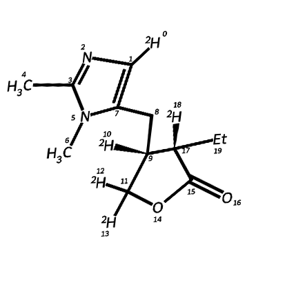 [2H]c1nc(C)n(C)c1C[C@@]1([2H])C([2H])([2H])OC(=O)[C@@]1([2H])CC